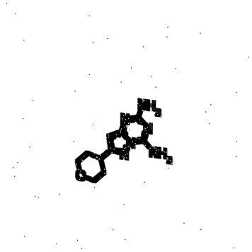 Nc1nc(N)n2nc(C3CCOCC3)cc2n1